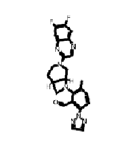 Cc1ccc(-n2nccn2)c(C=O)c1N1C[C@H]2CCN(c3cnc4cc(F)c(F)cc4n3)C[C@H]21